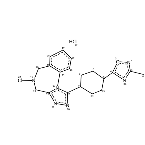 Cc1noc(C2CCC(c3nnc4n3-c3ccccc3CN(Cl)C4)CC2)n1.Cl